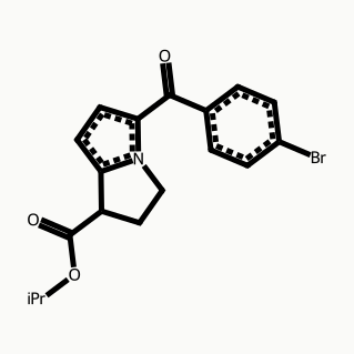 CC(C)OC(=O)C1CCn2c(C(=O)c3ccc(Br)cc3)ccc21